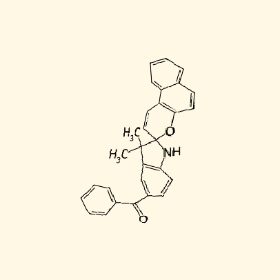 CC1(C)c2cc(C(=O)c3ccccc3)ccc2NC12C=Cc1c(ccc3ccccc13)O2